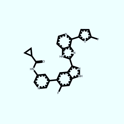 O=C(Nc1cncc(-c2cc3c(-c4nc5c(-c6ccc(F)s6)nccc5[nH]4)n[nH]c3cc2F)c1)C1CC1